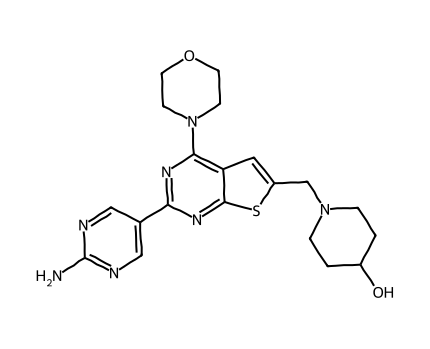 Nc1ncc(-c2nc(N3CCOCC3)c3cc(CN4CCC(O)CC4)sc3n2)cn1